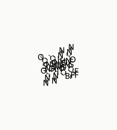 COc1ccc2nc(NC(=O)C3CCN(C#N)C3)sc2c1.Cc1ccc2nc(NC(=O)C3CCN(C#N)C3)sc2c1.N#CN1CCC(C(=O)Nc2nc3ccc(Br)cc3s2)C1.N#CN1CCC(C(=O)Nc2nc3ccc(C(F)(F)F)cc3s2)C1